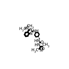 Cc1noc(C)c1NC(=O)NC[C@H]1CC[C@@H](Nc2nc(N(C)C)c3ccccc3n2)CC1